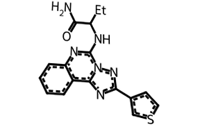 CCC(Nc1nc2ccccc2c2nc(-c3ccsc3)nn12)C(N)=O